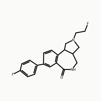 O=C1NCC2CN(CCF)CC2c2ccc(-c3ccc(F)cc3)cc21